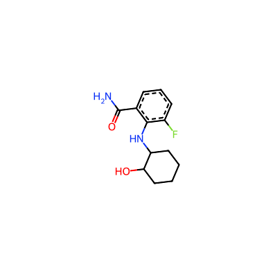 NC(=O)c1cccc(F)c1NC1CCCCC1O